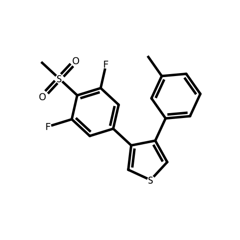 Cc1cccc(-c2cscc2-c2cc(F)c(S(C)(=O)=O)c(F)c2)c1